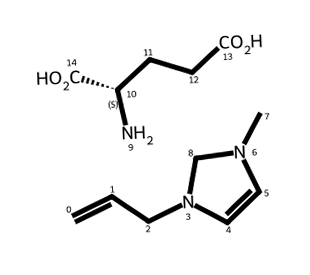 C=CCN1C=CN(C)C1.N[C@@H](CCC(=O)O)C(=O)O